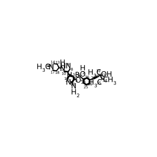 BC(O)(Oc1cc(/C(C=N)=C/NC2CCN(C)CC2)cnc1N)c1cccc(C#CC(C)(O)C(C)C)c1